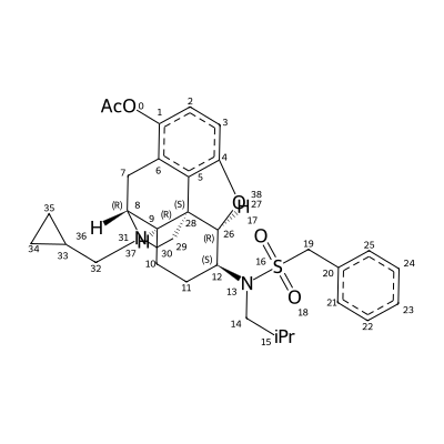 CC(=O)Oc1ccc2c3c1C[C@@H]1[C@@H]4CC[C@H](N(CC(C)C)S(=O)(=O)Cc5ccccc5)[C@H](O2)[C@]34CCN1CC1CC1